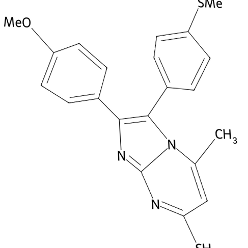 COc1ccc(-c2nc3nc(S)cc(C)n3c2-c2ccc(SC)cc2)cc1